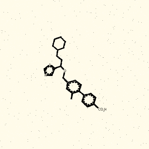 Cc1cc(COC(CCC2CCCCC2)c2cncs2)ccc1-c1ccc(C(=O)O)cc1